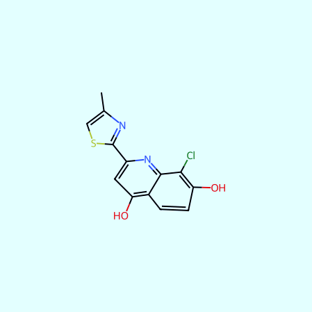 Cc1csc(-c2cc(O)c3ccc(O)c(Cl)c3n2)n1